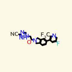 N#CC(=N)/N=C\NCC(=O)N1Cc2ccc(-c3cc(F)cnc3C(F)(F)F)cc2C1